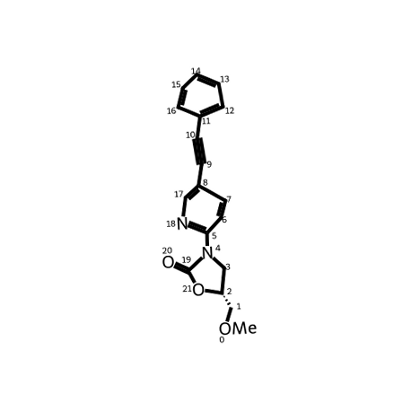 COC[C@H]1CN(c2ccc(C#Cc3ccccc3)cn2)C(=O)O1